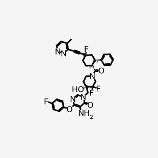 Cc1ccnnc1C#C[C@@]1(F)CC[C@@H](C(=O)N2CC[C@](O)(Cn3cnc(Oc4ccc(F)cc4)c(N)c3=O)C(F)(F)C2)[C@H](c2ccccc2)C1